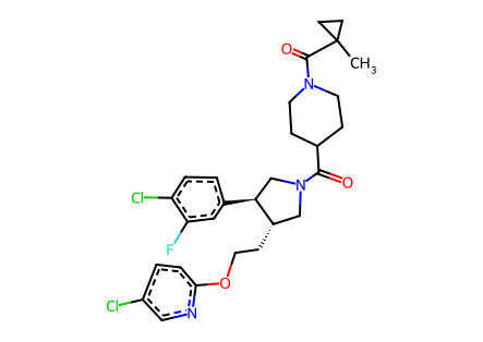 CC1(C(=O)N2CCC(C(=O)N3C[C@H](CCOc4ccc(Cl)cn4)[C@@H](c4ccc(Cl)c(F)c4)C3)CC2)CC1